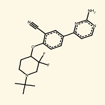 CC(C)(C)N1CCC(Oc2ccc(-c3ccnc(N)n3)cc2C#N)C(F)(F)C1